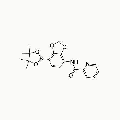 CC1(C)OB(c2ccc(NC(=O)c3ccccn3)c3c2OCO3)OC1(C)C